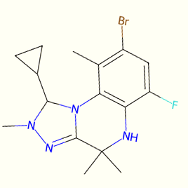 Cc1c(Br)cc(F)c2c1N1C(=NN(C)C1C1CC1)C(C)(C)N2